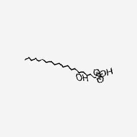 CCCCCCCCCCCCCCC(O)CCCCS(=O)(=O)O